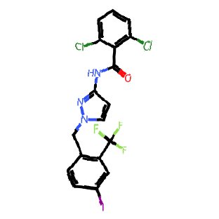 O=C(Nc1ccn(Cc2ccc(I)cc2C(F)(F)F)n1)c1c(Cl)cccc1Cl